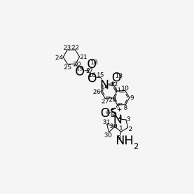 NC1CCN([S+]([O-])c2cccc3c(=O)n(COC(=O)OC4CCCCC4)ccc23)C12CC2